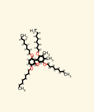 CCCCCCCCOc1ccc(OCCCCCCCC)c2c1oc1c(OCCCCCCCC)c(C)c(C)c(OCCCCCCCC)c12